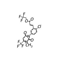 Cn1c(C(F)(F)F)cc(=O)n(-c2ccc(Cl)c(C=CC(=O)OCC(F)(F)F)c2)c1=O